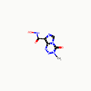 Cn1nnc2c(C(=O)NO)ncn2c1=O